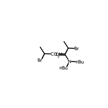 CC(Br)C(=O)O.CCCCN(CCCC)C(=O)C(C)Br